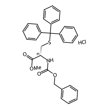 COC(=O)[C@H](CSC(c1ccccc1)(c1ccccc1)c1ccccc1)NC(=O)OCc1ccccc1.Cl